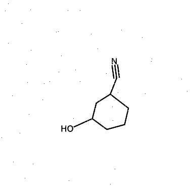 N#CC1CCCC(O)C1